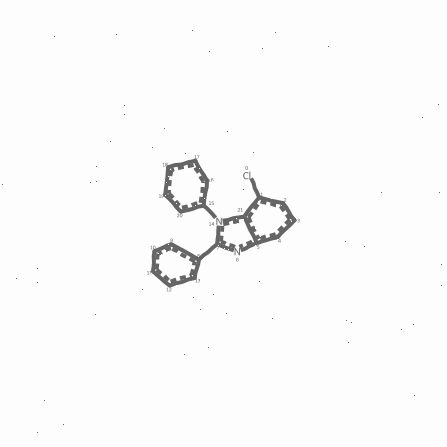 Clc1cccc2nc(-c3ccccc3)n(-c3ccccc3)c12